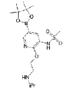 CC(C)NCCOc1ncc(B2OC(C)(C)C(C)(C)O2)cc1NS(C)(=O)=O